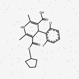 CC1=C(C(=O)O)C(c2c(F)cccc2Cl)C(C(=O)OC2CCCC2)=C(C)N1